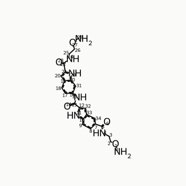 NOCCNC(=O)c1ccc2[nH]c(C(=O)Nc3ccc4cc(C(=O)NCCON)[nH]c4c3)cc2c1